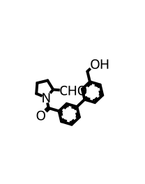 O=CC1CCCN1C(=O)c1cccc(-c2cccc(CO)c2)c1